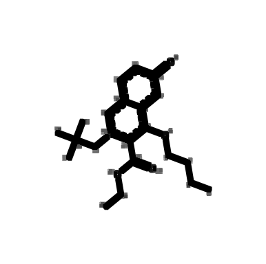 CCCCOc1c2cc(=O)ccc-2cn(CC(C)(C)C)c1C(=O)OCC